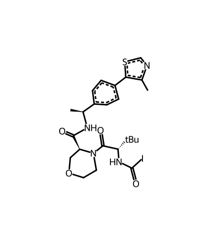 Cc1ncsc1-c1ccc([C@H](C)NC(=O)[C@@H]2COCCN2C(=O)[C@@H](NC(=O)I)C(C)(C)C)cc1